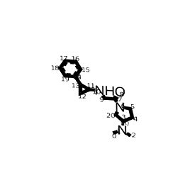 CN(C)[C@@H]1CCN(C(=O)CNC2CC2c2ccccc2)C1